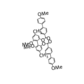 COc1ccc(-c2ccc(C(=O)Oc3cc(C)cc(OC)c3-c3c(OC)cc(C)cc3OC(=O)c3ccc(-c4ccc(OC)cc4)cc3)cc2)cc1